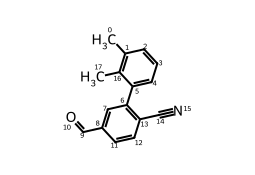 Cc1cccc(-c2cc(C=O)ccc2C#N)c1C